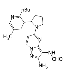 CCCCC1=NC=C(C)CC1C1CCCN1c1ccn2nc(N)c(NC=O)c2n1